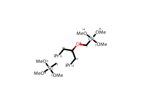 CO[Si](C)(OC)OC.CO[Si](COC(CC(C)C)CC(C)C)(OC)OC